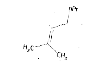 CCCCC=C(C)C